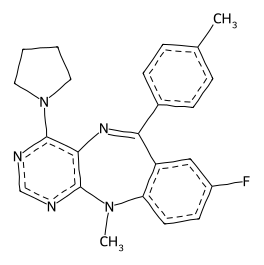 Cc1ccc(C2=Nc3c(N4CCCC4)ncnc3N(C)c3ccc(F)cc32)cc1